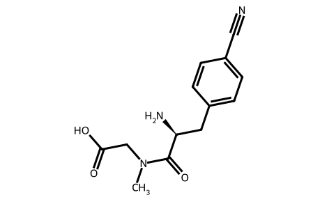 CN(CC(=O)O)C(=O)[C@@H](N)Cc1ccc(C#N)cc1